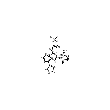 CC(C)(C)OC(=O)Oc1cccc2c([S+]3CCCC3)cccc12.O=S(=O)([O-])C(F)(F)F